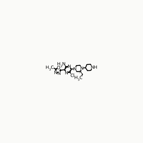 CC[C@H]1CN(c2nc(N)c(-c3nnc(C)o3)nc2Cl)CCN1C1CCNCC1